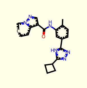 Cc1ccc(-c2nnc(C3CCC3)[nH]2)cc1NC(=O)c1cnn2ccccc12